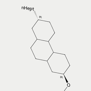 CCCCCCC[C@@H]1CCC2C(CCC3C[C@H](OCCCC)CCC32)C1